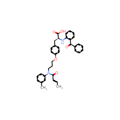 C/C=C/C(=O)N(CCCOc1ccc(C[C@H](Nc2ccccc2C(=O)c2ccccc2)C(=O)O)cc1)c1cccc(C)c1